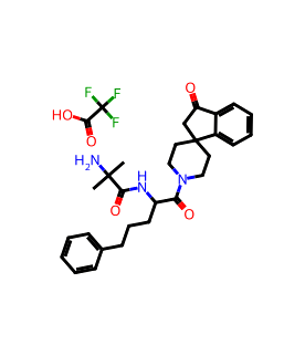 CC(C)(N)C(=O)NC(CCCc1ccccc1)C(=O)N1CCC2(CC1)CC(=O)c1ccccc12.O=C(O)C(F)(F)F